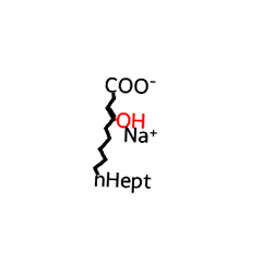 CCCCCCCCCCCCC(O)=CCC(=O)[O-].[Na+]